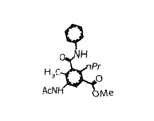 CCCc1c(C(=O)OC)cc(NC(C)=O)c(C)c1C(=O)Nc1ccccc1